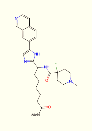 CNC(=O)CCCCCC(NC(=O)C1(F)CCN(C)CC1)c1ncc(-c2ccc3ccncc3c2)[nH]1